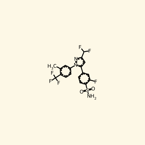 Cc1cc(-n2nc(C(F)F)cc2-c2ccc(S(N)(=O)=O)c(F)c2)ccc1C(F)(F)F